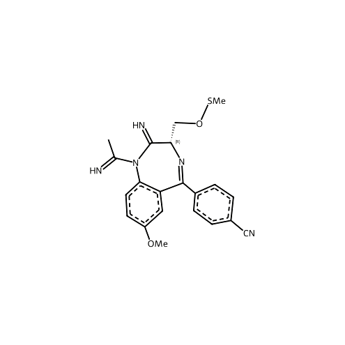 COc1ccc2c(c1)C(c1ccc(C#N)cc1)=N[C@@H](COSC)C(=N)N2C(C)=N